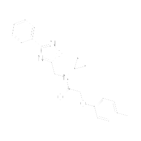 Cc1ccc(OCC(=O)N(Cc2nc(-c3ccccc3)no2)C2CC2)cc1